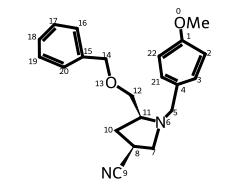 COc1ccc(CN2C[C@@H](C#N)C[C@H]2COCc2ccccc2)cc1